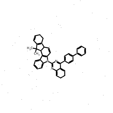 CC1(C)C2=C(CCC=C2)C2C=Cc3c(c4ccccc4n3-c3nc(-c4ccc(-c5ccccc5)cc4)c4c(n3)=CCCC=4)C21